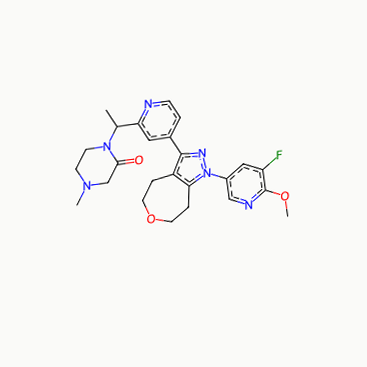 COc1ncc(-n2nc(-c3ccnc(C(C)N4CCN(C)CC4=O)c3)c3c2CCOCC3)cc1F